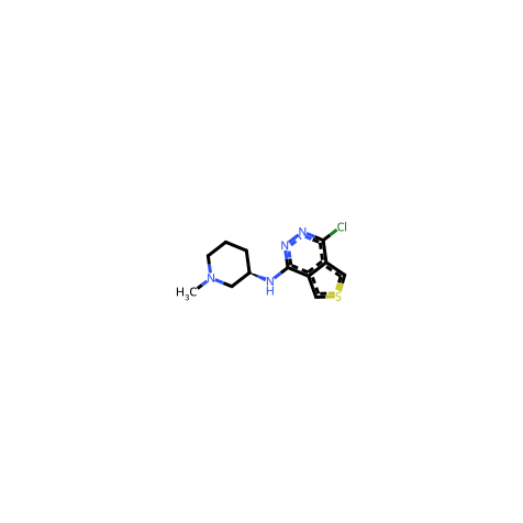 CN1CCC[C@@H](Nc2nnc(Cl)c3cscc23)C1